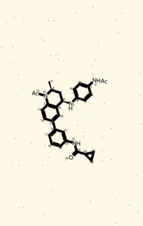 CC(=O)Nc1ccc(N[C@@H]2C[C@H](C)N(C(C)=O)c3ccc(-c4cccc(NC(=O)C5CC5)c4)cc32)cc1